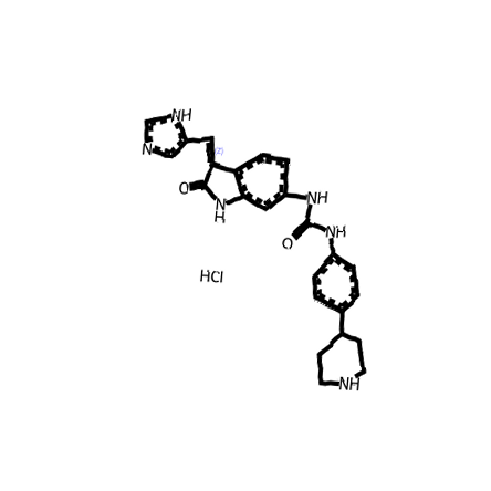 Cl.O=C(Nc1ccc(C2CCNCC2)cc1)Nc1ccc2c(c1)NC(=O)/C2=C\c1cnc[nH]1